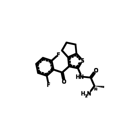 C[C@H](N)C(=O)Nc1sc2c(c1C(=O)c1c(F)cccc1F)CCC2